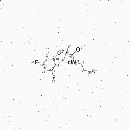 CC(C)CCNC(=O)C(C)(C)Oc1cc(F)cc(F)c1